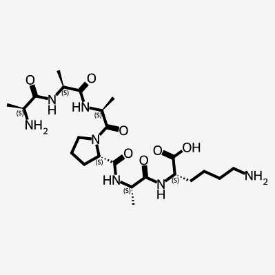 C[C@H](N)C(=O)N[C@@H](C)C(=O)N[C@@H](C)C(=O)N1CCC[C@H]1C(=O)N[C@@H](C)C(=O)N[C@@H](CCCCN)C(=O)O